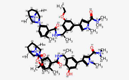 CCOc1cc(-c2cc(C(=O)N(C)C)n(C)c2)cc([C@@H](C)NC(=O)c2cc(N3C[C@H]4CC[C@@H](C3)N4)ccc2C)c1.Cc1ccc(N2C[C@H]3CC[C@@H](C2)N3C(=O)OC(C)(C)C)cc1C(=O)N[C@H](C)c1cc(O)cc(-c2cc(C(=O)N(C)C)n(C)c2)c1